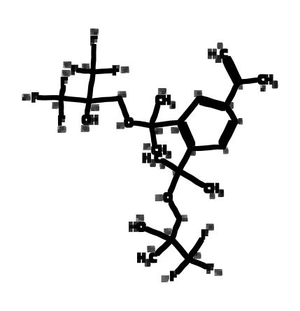 C=C(C)c1ccc(C(C)(C)OCC(C)(O)C(F)(F)F)c(C(C)(C)OCC(O)(C(F)(F)F)C(F)(F)F)c1